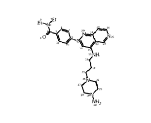 CCN(CC)C(=O)c1ccc(-c2cc(NCCCN3CCN(N)CC3)c3cnccc3n2)cc1